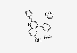 Oc1ccc2nc(-[c-]3cccc3)cc(-c3ccccc3)c2c1.[Fe+2].c1cc[cH-]c1